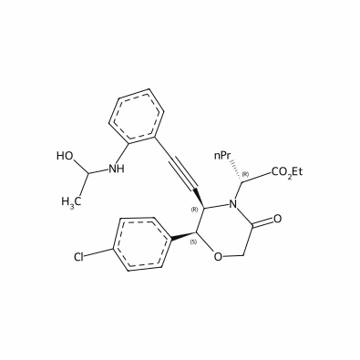 CCC[C@H](C(=O)OCC)N1C(=O)CO[C@@H](c2ccc(Cl)cc2)[C@H]1C#Cc1ccccc1NC(C)O